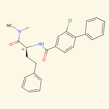 CN(C#N)C(=O)[C@H](CCc1ccccc1)NC(=O)c1ccc(-c2ccccc2)c(Cl)c1